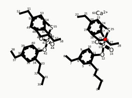 CCCCc1cc(CC)ccc1OP(=O)([O-])Oc1c2cc(CC)cc1SC(CC)C2.CCCCc1cc(CC)ccc1OP(=O)([O-])Oc1c2cc(CC)cc1SC(CC)C2.[Ca+2]